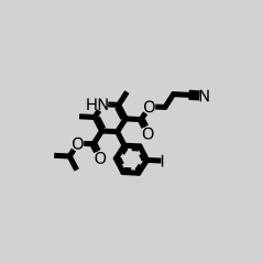 CC1=C(C(=O)OCCC#N)C(c2cccc(I)c2)C(C(=O)OC(C)C)=C(C)N1